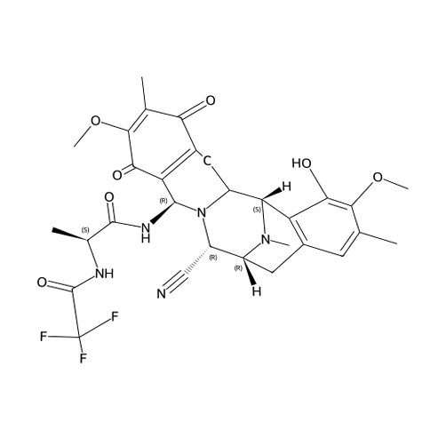 COC1=C(C)C(=O)C2=C(C1=O)[C@H](NC(=O)[C@H](C)NC(=O)C(F)(F)F)N1C(C2)[C@@H]2c3c(cc(C)c(OC)c3O)C[C@H]([C@@H]1C#N)N2C